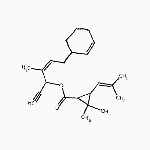 C#CC(OC(=O)C1C(C=C(C)C)C1(C)C)C(C)=CCC1C=CCCC1